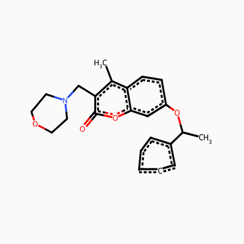 Cc1c(CN2CCOCC2)c(=O)oc2cc(OC(C)c3ccccc3)ccc12